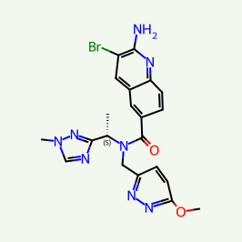 COc1ccc(CN(C(=O)c2ccc3nc(N)c(Br)cc3c2)[C@@H](C)c2ncn(C)n2)nn1